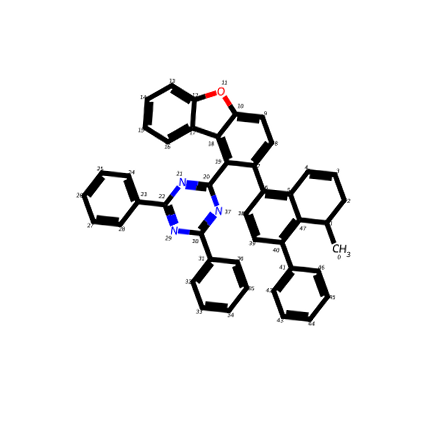 CC1CC=Cc2c(-c3ccc4oc5ccccc5c4c3-c3nc(-c4ccccc4)nc(-c4ccccc4)n3)ccc(-c3ccccc3)c21